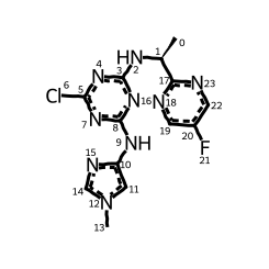 C[C@H](Nc1nc(Cl)nc(Nc2cn(C)cn2)n1)c1ncc(F)cn1